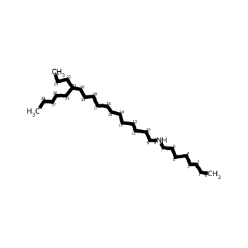 CCCCCCCCNCCCCCCCCCCCCC(CCC)CCCCC